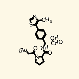 Cc1ncsc1-c1ccc(CNC(=O)C2CCCN2C(=O)CC(C)(C)C)cc1.O=CO